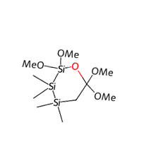 COC1(OC)C[Si](C)(C)[Si](C)(C)[Si](OC)(OC)O1